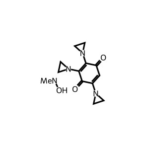 CNO.O=C1C=C(N2CC2)C(=O)C(N2CC2)=C1N1CC1